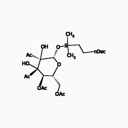 CCCCCCCCCCCC[Si](C)(C)O[C@@H]1O[C@H](COC(C)=O)[C@@H](OC(C)=O)[C@@](O)(C(C)=O)[C@]1(O)C(C)=O